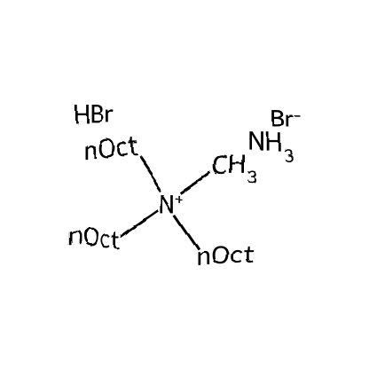 Br.CCCCCCCC[N+](C)(CCCCCCCC)CCCCCCCC.N.[Br-]